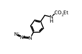 CCOC(=O)NCc1ccc(N=[N+]=[N-])cc1